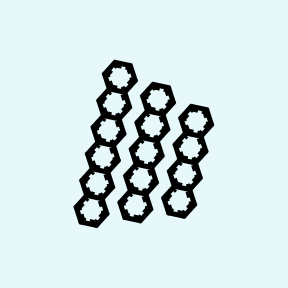 c1ccc2cc3cc4cc5cc6ccccc6cc5cc4cc3cc2c1.c1ccc2cc3cc4cc5ccccc5cc4cc3cc2c1.c1ccc2cc3cc4ccccc4cc3cc2c1